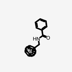 O=C(NC[C]12[CH]3[CH]4[CH]5[CH]1[Fe]45321678[CH]2[CH]1[CH]6[CH]7[CH]28)c1ccccc1